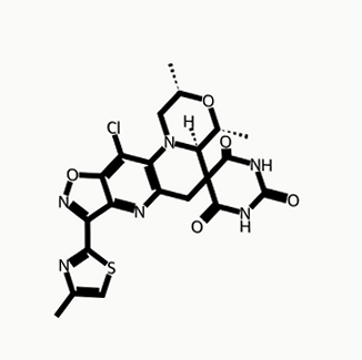 Cc1csc(-c2noc3c(Cl)c4c(nc23)CC2(C(=O)NC(=O)NC2=O)[C@@H]2[C@@H](C)O[C@@H](C)CN42)n1